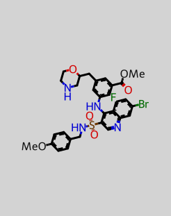 COC(=O)c1cc(CC2CNCCO2)cc(Nc2c(S(=O)(=O)NCc3ccc(OC)cc3)cnc3cc(Br)cc(F)c23)c1